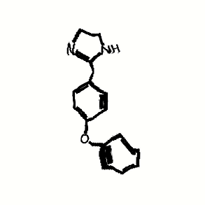 c1ccc(Oc2ccc(C3=NCCN3)cc2)cc1